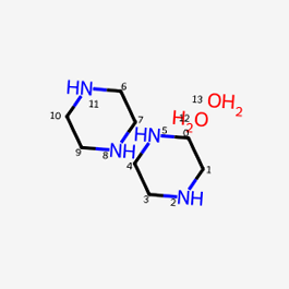 C1CNCCN1.C1CNCCN1.O.O